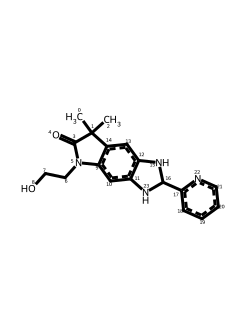 CC1(C)C(=O)N(CCO)c2cc3c(cc21)NC(c1ccccn1)N3